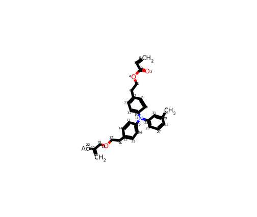 C=CC(=O)OCCc1ccc(N(c2ccc(CCOCC(=C)C(C)=O)cc2)c2cccc(C)c2)cc1